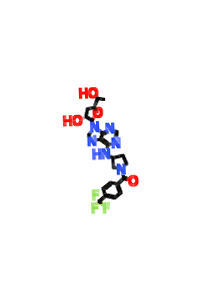 CC(O)[C@@H]1C[C@@H](O)[C@H](n2cnc3c(NC4CCN(C(=O)c5ccc(C(F)(F)F)cc5)C4)ncnc32)O1